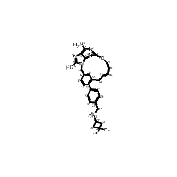 Nc1nc2nc3c1nc(O)n3Cc1ccc(-c3ccc(CNC4CC(F)(F)C4)cc3)c(c1)C/C=C/CCO2